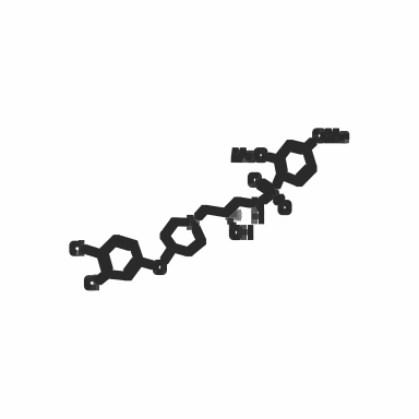 COc1ccc(S(=O)(=O)NC[C@H](O)CN2CCC(Oc3ccc(Cl)c(Cl)c3)CC2)c(OC)c1